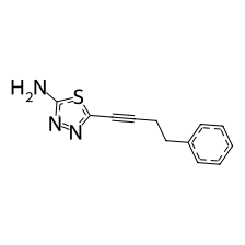 Nc1nnc(C#CCCc2ccccc2)s1